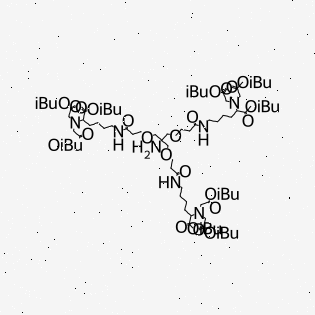 CC(C)COC(=O)CN(CC(=O)OCC(C)C)C(CCCCNC(=O)CCOCC(N)(COCCC(=O)NCCCCC(C(=O)OCC(C)C)N(CC(=O)OCC(C)C)CC(=O)OCC(C)C)COCCC(=O)NCCCCC(C(=O)OCC(C)C)N(CC(=O)OCC(C)C)CC(=O)OCC(C)C)C(=O)OCC(C)C